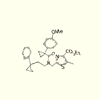 CCOC(=O)c1nc(CN(CCC2(c3ccccc3)CC2)C(=O)C2(c3ccc(OC)cc3)CC2)sc1C